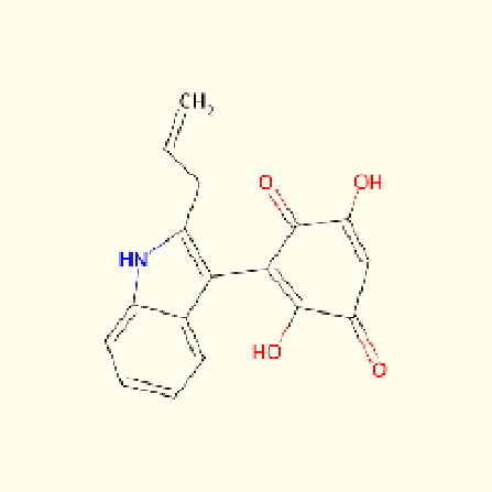 C=CCc1[nH]c2ccccc2c1C1=C(O)C(=O)C=C(O)C1=O